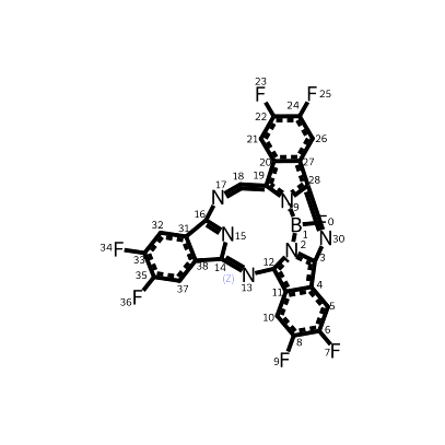 FB1n2c3c4cc(F)c(F)cc4c2/N=C2\N=C(N=C=c4c5cc(F)c(F)cc5c(n41)=N3)c1cc(F)c(F)cc12